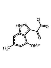 COc1cc(C)cc2[nH]cc(C(=O)C(=O)Cl)c12